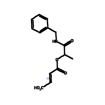 CC(OC(=O)/C=C/C(=O)O)C(=O)NCc1ccccc1